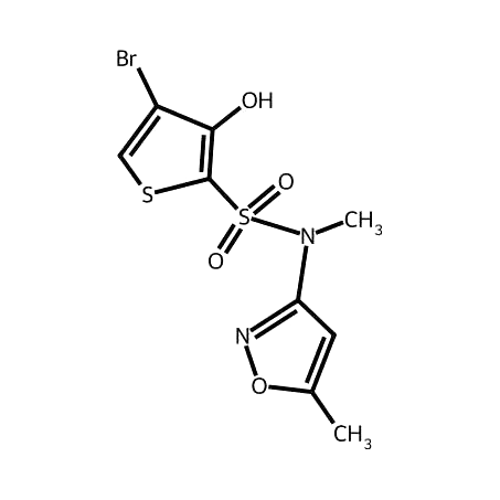 Cc1cc(N(C)S(=O)(=O)c2scc(Br)c2O)no1